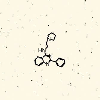 c1ccc(-c2nc(NCCN3CCCC3)c3ccccc3n2)cc1